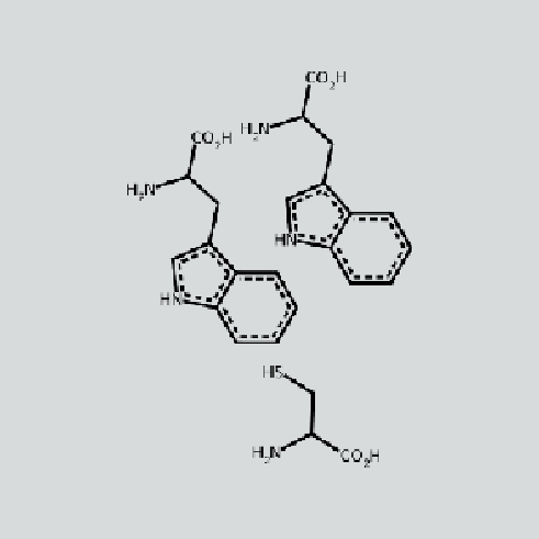 NC(CS)C(=O)O.NC(Cc1c[nH]c2ccccc12)C(=O)O.NC(Cc1c[nH]c2ccccc12)C(=O)O